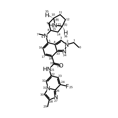 CCn1cc2c(N(C)C3C[C@H]4CC[C@@H](C3)N4)ccc(C(=O)Nc3cc(F)c4nc(C)cn4c3)c2n1